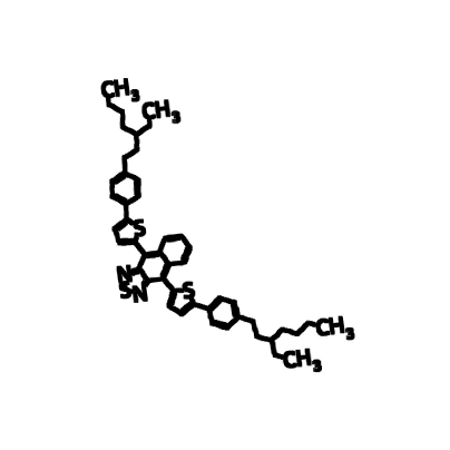 CCCCC(CC)CCc1ccc(-c2ccc(-c3c4ccccc4c(-c4ccc(-c5ccc(CCC(CC)CCCC)cc5)s4)c4nsnc34)s2)cc1